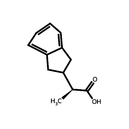 C[C@H](C(=O)O)C1Cc2ccccc2C1